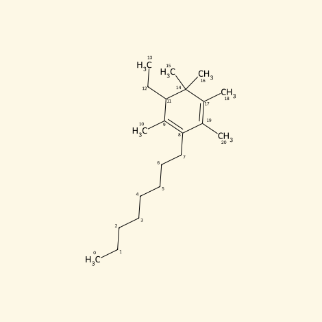 CCCCCCCCC1=C(C)C(CC)C(C)(C)C(C)=C1C